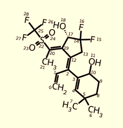 C=C/C(C1=CC(C)(C)CCC1O)=C1/CC(F)(F)[C@@H](O)/C1=C(/C)S(=O)(=O)C(F)(F)F